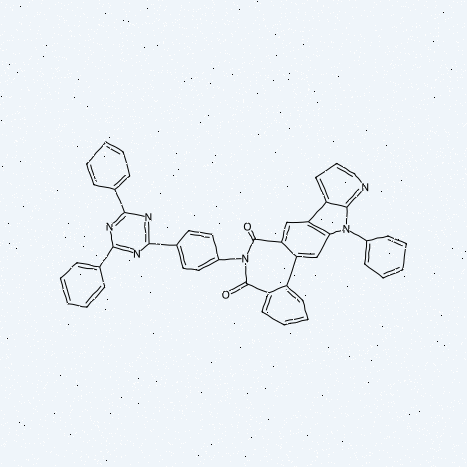 O=c1c2ccccc2c2cc3c(cc2c(=O)n1-c1ccc(-c2nc(-c4ccccc4)nc(-c4ccccc4)n2)cc1)c1cccnc1n3-c1ccccc1